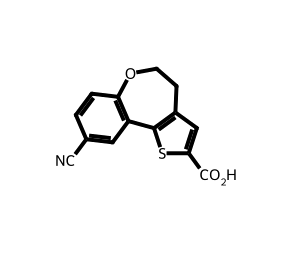 N#Cc1ccc2c(c1)-c1sc(C(=O)O)cc1CCO2